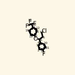 Fc1ccc(C(CCCl)Oc2ccc(C(F)(F)F)cc2)cc1